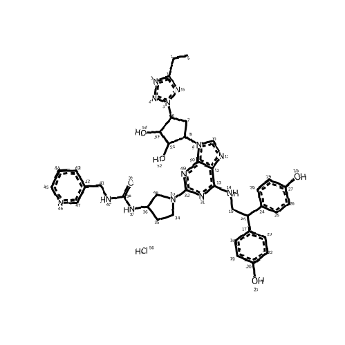 CCc1nnn(C2CC(n3cnc4c(NCC(c5ccc(O)cc5)c5ccc(O)cc5)nc(N5CCC(NC(=O)NCc6cccnc6)C5)nc43)C(O)C2O)n1.Cl